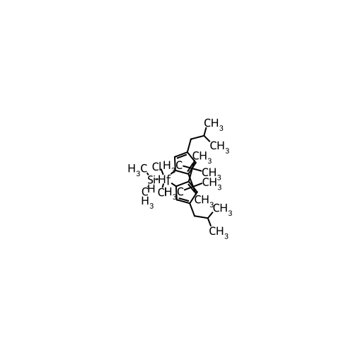 CC(C)CC1=C[CH]([Hf]([Cl])([Cl])([CH]2C=C(CC(C)C)C=C2C(C)(C)C)[SiH](C)C)C(C(C)(C)C)=C1